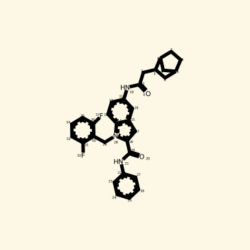 O=C(CC1CC2CCC1C2)Nc1ccc2c(c1)cc(C(=O)Nc1ccccc1)n2Cc1c(F)cccc1F